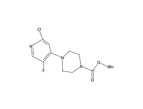 CC(C)(C)OC(=O)N1CCN(c2cc(Cl)ncc2F)CC1